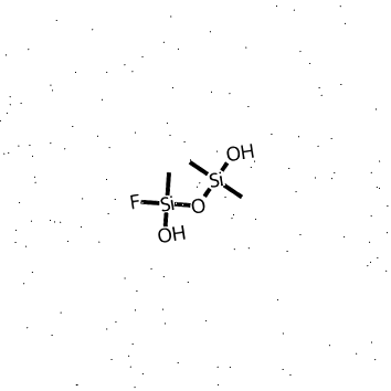 C[Si](C)(O)O[Si](C)(O)F